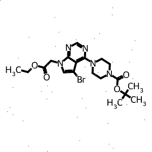 CCOC(=O)Cn1cc(Br)c2c(N3CCN(C(=O)OC(C)(C)C)CC3)ncnc21